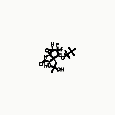 CC(O)(O)C[C@]1(CC=O)[C@@H]2O[C@@H]2C(F)(F)[C@@H]1O[Si](C)(C)C(C)(C)C